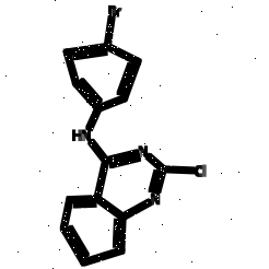 Clc1nc(Nc2ccc(Br)cc2)c2ccccc2n1